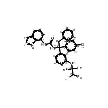 O=C(Nc1cccc2nonc12)NC(Cc1ccccc1)(c1cccc(OC(F)(F)C(F)F)c1)c1ccc(Cl)cn1